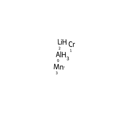 [AlH3].[Cr].[LiH].[Mn]